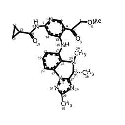 COCC(=O)c1cnc(NC(=O)C2CC2)cc1Nc1cccc2c1N(C)[C@H](C)c1nc(C)nn1-2